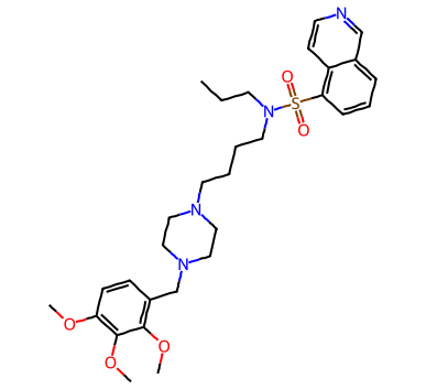 CCCN(CCCCN1CCN(Cc2ccc(OC)c(OC)c2OC)CC1)S(=O)(=O)c1cccc2cnccc12